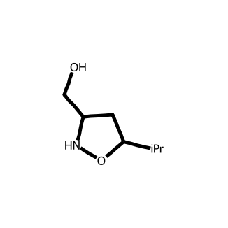 CC(C)C1CC(CO)NO1